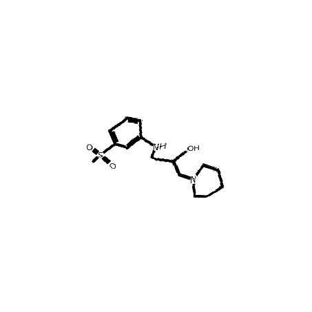 CS(=O)(=O)c1cc[c]c(NCC(O)CN2CCCCC2)c1